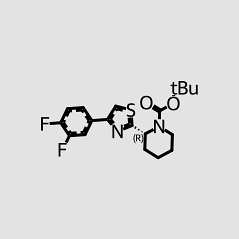 CC(C)(C)OC(=O)N1CCCC[C@@H]1c1nc(-c2ccc(F)c(F)c2)cs1